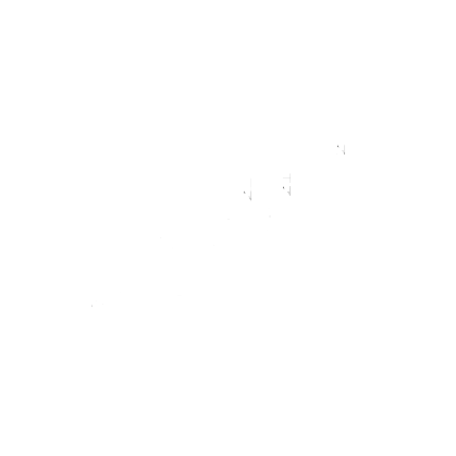 O=C(NCc1cccnc1)Nc1ccc(S(=O)(=O)c2ccc(Cl)cc2F)cc1